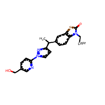 COCn1c(=O)sc2cc(C(C)c3ccn(-c4ccc(CO)cn4)n3)ccc21